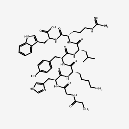 CC(C)C[C@H](NC(=O)[C@H](Cc1ccc(O)cc1)NC(=O)[C@H](CCCCN)NC(=O)[C@H](Cc1c[nH]cn1)NC(=O)CNC(=O)CN)C(=O)N[C@@H](CCCNC(=N)N)C(=O)N[C@@H](Cc1c[nH]c2ccccc12)C(=O)O